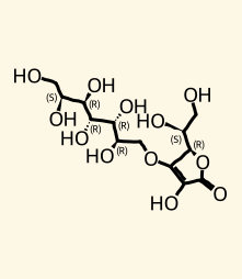 O=C1O[C@H]([C@@H](O)CO)C(OC[C@@H](O)[C@@H](O)[C@H](O)[C@H](O)[C@@H](O)CO)=C1O